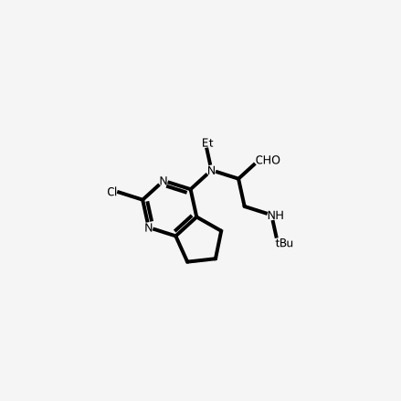 CCN(c1nc(Cl)nc2c1CCC2)C(C=O)CNC(C)(C)C